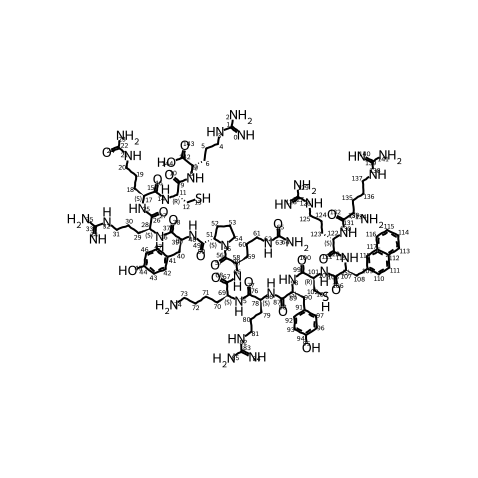 N=C(N)NCCC[C@H](NC(=O)[C@H](CS)NC(=O)[C@H](CCCNC(N)=O)NC(=O)[C@H](CCCNC(=N)N)NC(=O)[C@H](Cc1ccc(O)cc1)NC(=O)[C@@H]1CCCN1C(=O)[C@@H](CCCNC(N)=O)NC(=O)[C@H](CCCCN)NC(=O)[C@H](CCCNC(=N)N)NC(=O)[C@H](Cc1ccc(O)cc1)NC(=O)[C@H](CS)NC(=O)[C@H](Cc1ccc2ccccc2c1)NC(=O)[C@H](CCCNC(=N)N)NC(=O)[C@@H](N)CCCNC(=N)N)C(=O)O